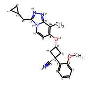 COc1ccccc1[C@]1(C#N)C[C@@H](Oc2ccn3c(CC4CC4)nnc3c2C)C1